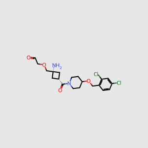 N[C@]1(COCC=O)C[C@H](C(=O)N2CCC(OCc3ccc(Cl)cc3Cl)CC2)C1